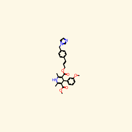 COC(=O)C1=C(C)NC(C)=C(C(=O)OCC=Cc2ccc(Cn3ccnc3)cc2)C1c1cccc(OC)c1